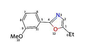 CCc1cnc(-c2cccc(OC)c2)o1